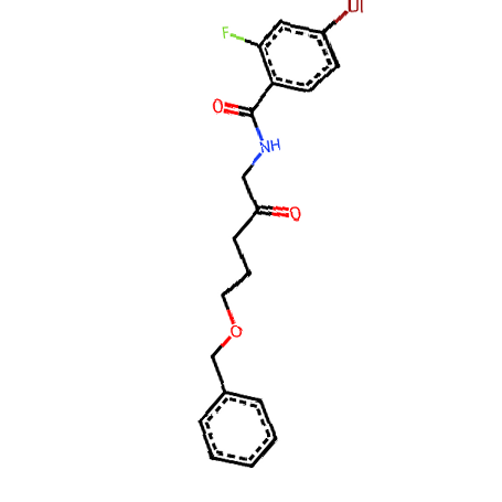 O=C(CCCOCc1ccccc1)CNC(=O)c1ccc(Br)cc1F